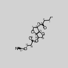 CCCC(=O)OC1COC2C(OC(=O)CCOC#N)COC12